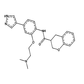 CN(C)CCOc1cc(-c2cn[nH]c2)ccc1NC(=O)C1COc2ccccc2C1